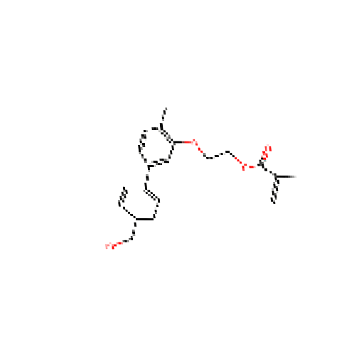 C=C(C)C(=O)OCCOc1cc(-c2ccc(CO)cc2)ccc1C